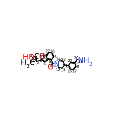 C[Si](C)(O)Cc1cc2c(C(=O)N3CCC(c4cccc(CN)c4)CC3)cccc2o1